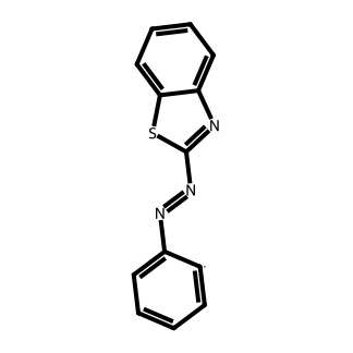 [c]1ccccc1N=Nc1nc2ccccc2s1